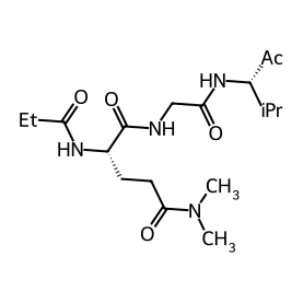 CCC(=O)N[C@@H](CCC(=O)N(C)C)C(=O)NCC(=O)N[C@H](C(C)=O)C(C)C